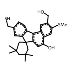 CSc1cc2c(O)cc3c(c2cc1CO)-c1ccc(CS)cc1C31CC(C)(C)CC(C)(C)C1